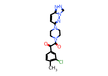 Cc1ccc(C(=O)C(=O)N2CCN(c3ccc4nncn4n3)CC2)cc1Cl